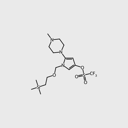 CN1CCN(c2cc(OS(=O)(=O)C(F)(F)F)cn2COCC[Si](C)(C)C)CC1